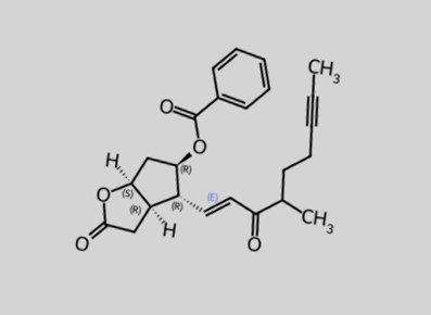 CC#CCCC(C)C(=O)/C=C/[C@@H]1[C@H]2CC(=O)O[C@H]2C[C@H]1OC(=O)c1ccccc1